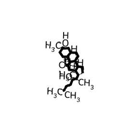 CC(C)CC[C@H](O)[C@@H](C)[C@H]1CC[C@H]2[C@@H]3CC[C@H]4C[C@@](C)(O)CC[C@@H]4[C@H]3C(=O)C[C@]12C